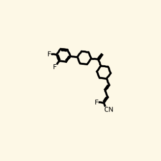 C=C(C1CCC(C=CC=C(F)C#N)CC1)C1CCC(c2ccc(F)c(F)c2)CC1